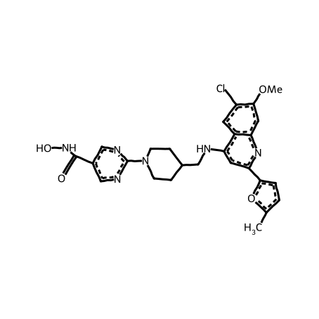 COc1cc2nc(-c3ccc(C)o3)cc(NCC3CCN(c4ncc(C(=O)NO)cn4)CC3)c2cc1Cl